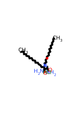 CCCCCCCCCCCCCCCCC1C(C(N)=O)C(C(N)=O)CN1CCCCCCCCCCCCCCCC.Cl